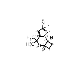 CC1(C)O[C@@H]2CC[C@@H]2n2nc(N)cc21